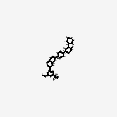 CCc1cc(-c2ccc3ccc(-c4ccc(-c5ccc6oc7ccccc7c6c5)cc4)cc3c2)cc(C(F)(F)F)c1